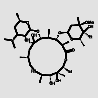 CC[C@H]1OC(=O)[C@H](C)[C@@H](O[C@H]2C[C@@](C)(OC)[C@](O)(CC)[C@H](C)O2)[C@H](C)[C@@H](O[C@@H]2O[C@H](C)CC(N(C)C)[C@H]2O)[C@](C)(O)C[C@@H](C)CN[C@H](C)[C@@H](O)[C@]1(C)O